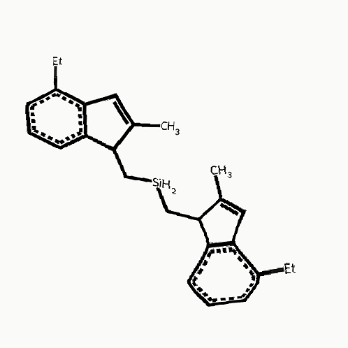 CCc1cccc2c1C=C(C)C2C[SiH2]CC1C(C)=Cc2c(CC)cccc21